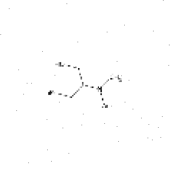 CC(=O)N(C)C(CO)CC(C)C